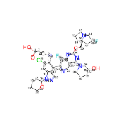 O=C(O)CC/C=C\c1c(Cl)cc2c(cnn2C2CCCCO2)c1-c1ncc2c(N3CCC[C@@H](O)C3)nc(OC[C@@]34CCCN3C[C@H](F)C4)nc2c1F